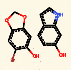 Oc1cc2c(cc1Br)OCO2.Oc1ccc2cc[nH]c2c1